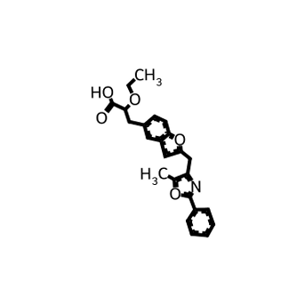 CCOC(Cc1ccc2oc(Cc3nc(-c4ccccc4)oc3C)cc2c1)C(=O)O